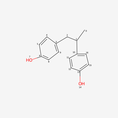 CC(Cc1ccc(O)cc1)c1ccc(O)cc1